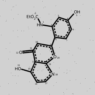 CCOC(=O)Nc1cc(O)ccc1-c1cc(=O)c2c(O)ccnc2o1